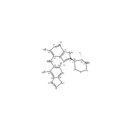 C[C@@H]1NCCC[C@H]1c1cc2c(Nc3c(F)cc4scnc4c3F)c(F)cnc2s1